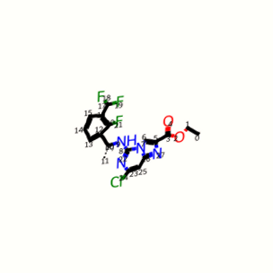 CCOC(=O)c1cn2c(N[C@H](C)c3cccc(C(F)F)c3F)nc(Cl)cc2n1